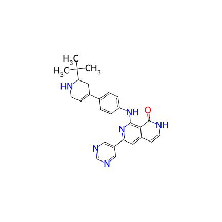 CC(C)(C)C1CC(c2ccc(Nc3nc(-c4cncnc4)cc4cc[nH]c(=O)c34)cc2)=CCN1